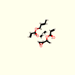 C=C=C.C=CC(=O)OC(C)C1CO1.C=CC(=O)OCC=CC